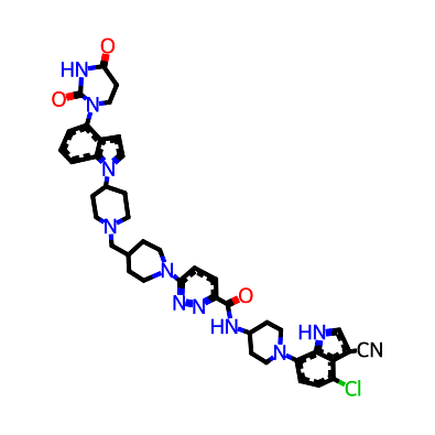 N#Cc1c[nH]c2c(N3CCC(NC(=O)c4ccc(N5CCC(CN6CCC(n7ccc8c(N9CCC(=O)NC9=O)cccc87)CC6)CC5)nn4)CC3)ccc(Cl)c12